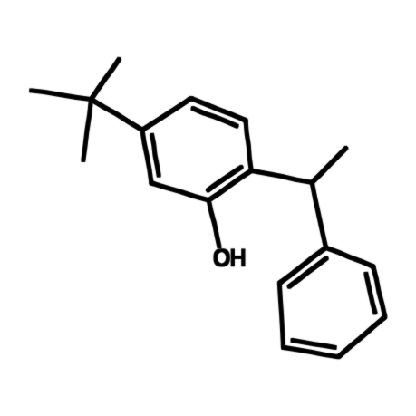 CC(c1ccccc1)c1ccc(C(C)(C)C)cc1O